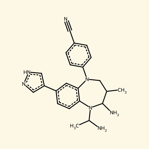 CC1CN(c2ccc(C#N)cc2)c2cc(-c3cn[nH]c3)ccc2N(C(C)N)C1N